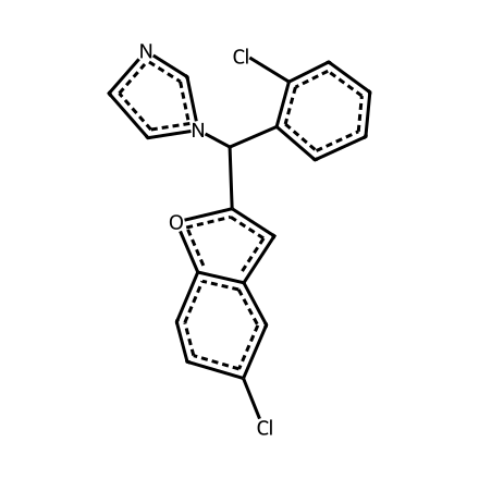 Clc1ccc2oc(C(c3ccccc3Cl)n3ccnc3)cc2c1